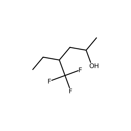 CCC(CC(C)O)C(F)(F)F